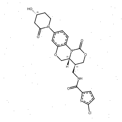 O=C(NC[C@@H]1COC(=O)N2c3ccc(N4CC[C@@H](O)CC4=O)cc3OC[C@@H]12)c1ccc(Cl)s1